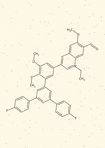 CC[n+]1cc(-c2cc(OC)c(OC)c(-c3cc(-c4ccc(F)cc4)cc(-c4ccc(F)cc4)c3)c2)cc2cc(OC)c(C=O)cc21